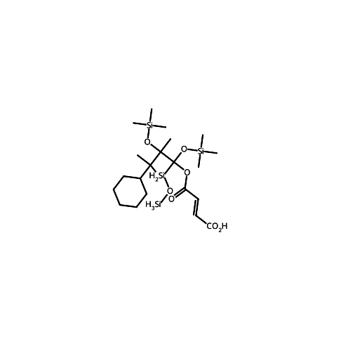 CC(C)(C1CCCCC1)C(C)(O[Si](C)(C)C)C(OC(=O)/C=C/C(=O)O)(O[Si](C)(C)C)[SiH2]O[SiH3]